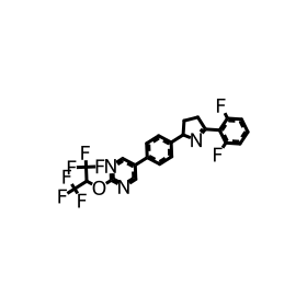 Fc1cccc(F)c1C1=NC(c2ccc(-c3cnc(OC(C(F)(F)F)C(F)(F)F)nc3)cc2)CC1